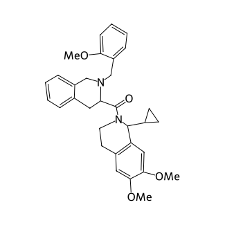 COc1ccccc1CN1Cc2ccccc2CC1C(=O)N1CCc2cc(OC)c(OC)cc2C1C1CC1